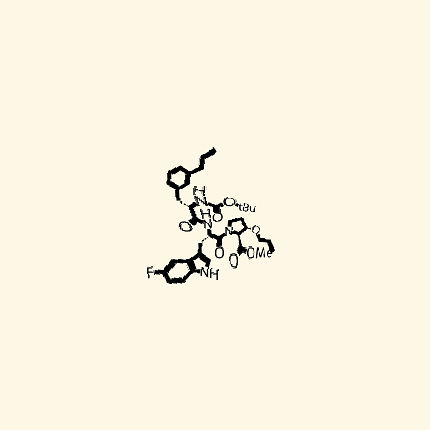 C=CCO[C@H]1CCN(C(=O)[C@H](Cc2c[nH]c3ccc(F)cc23)NC(=O)[C@H](Cc2cccc(CC=C)c2)NC(=O)OC(C)(C)C)[C@@H]1C(=O)OC